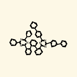 C1=CCC(c2nc(-c3ccccc3)nc(-c3ccccc3-c3ccccc3-c3ccccc3-c3nc(-c4ccc(-c5ccccc5)cc4)nc(-c4ccc(-c5ccccc5)cc4)n3)n2)C=C1